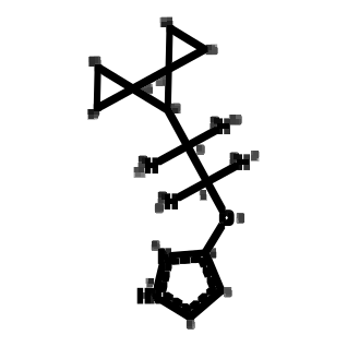 [2H]C([2H])(Oc1cc[nH]n1)C([2H])([2H])C1C2(CC2)C12CC2